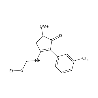 CCSCNC1=C(c2cccc(C(F)(F)F)c2)C(=O)C(OC)C1